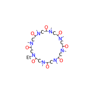 CCN1CC(=O)N(C)CC(=O)N(C)CC(=O)N(C)CC(=O)N(C)CC(=O)N(C)CC(=O)N(C)CC(=O)N(C)CC1=O